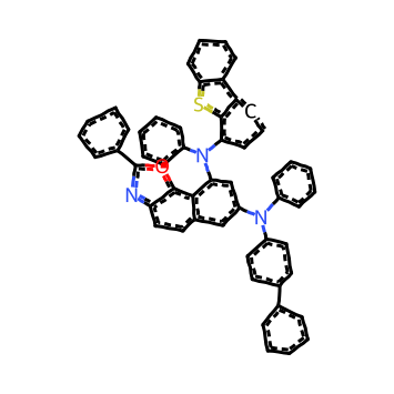 c1ccc(-c2ccc(N(c3ccccc3)c3cc(N(c4ccccc4)c4cccc5c4sc4ccccc45)c4c(ccc5nc(-c6ccccc6)oc54)c3)cc2)cc1